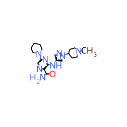 CN1CCC(n2cc(Nc3nc(N4CCCCC4)cnc3C(N)=O)cn2)CC1